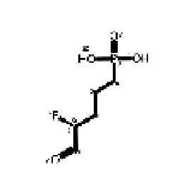 O=[C][C@@H](F)CCCP(=O)(O)O